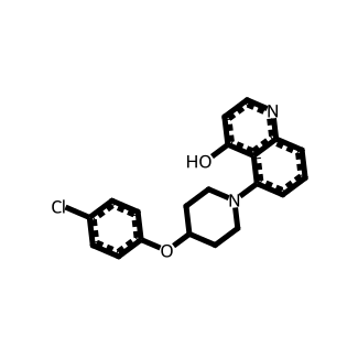 Oc1ccnc2cccc(N3CCC(Oc4ccc(Cl)cc4)CC3)c12